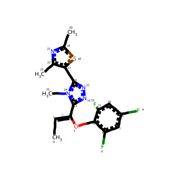 C/C=C(\Oc1c(F)cc(F)cc1F)c1nnc(-c2sc(C)nc2C)n1C